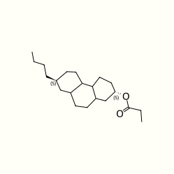 CCCC[C@H]1CCC2C(CCC3C[C@@H](OC(=O)CC)CCC32)C1